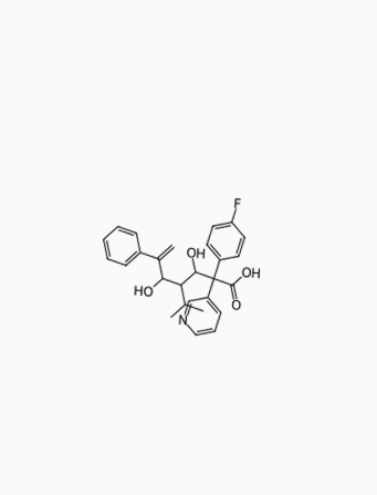 C=C(c1ccccc1)C(O)C(C(C)C)C(O)C(C(=O)O)(c1ccc(F)cc1)c1cccnc1